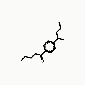 CCCCC(=O)c1ccc(C(C)CCC)cc1